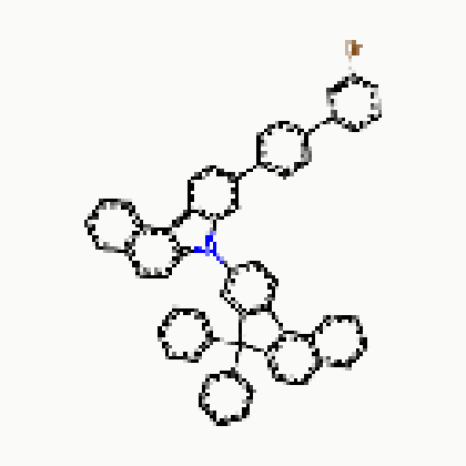 Brc1cccc(-c2ccc(-c3ccc4c5c6ccccc6ccc5n(-c5ccc6c(c5)C(c5ccccc5)(c5ccccc5)c5ccc7ccccc7c5-6)c4c3)cc2)c1